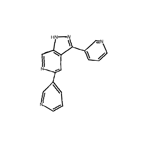 c1cncc(-c2cc3c(-c4cccnc4)n[nH]c3cn2)c1